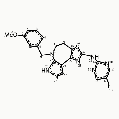 COc1cccc(CN2CCc3sc(Nc4ncc(F)cn4)nc3-c3cn[nH]c32)c1